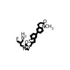 CN1C(=O)CCc2cc(-c3ccc4sc(Cn5cnn(C/C(=C/F)CN)c5=O)cc4c3)ccc21